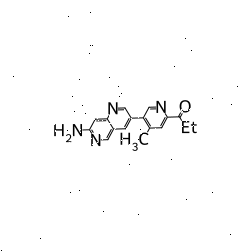 CCC(=O)c1cc(C)c(-c2cnc3cc(N)ncc3c2)cn1